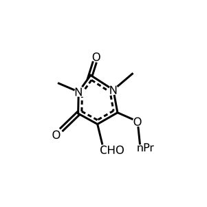 CCCOc1c(C=O)c(=O)n(C)c(=O)n1C